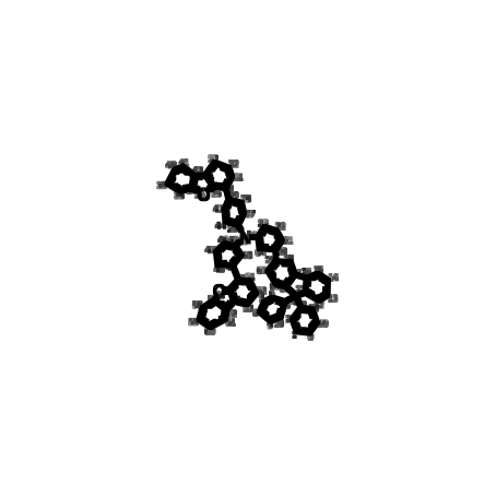 c1ccc(C2(c3ccccc3)c3ccccc3-c3cc(-c4cccc(N(c5ccc(-c6cccc7c6oc6ccccc67)cc5)c5cccc(-c6cccc7c6oc6ccccc67)c5)c4)ccc32)cc1